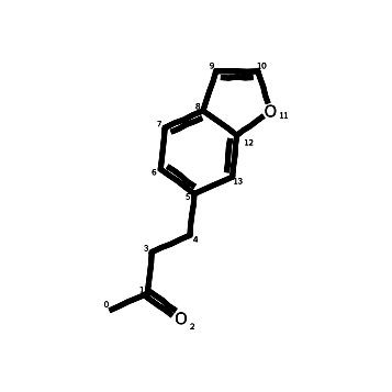 CC(=O)CCc1ccc2ccoc2c1